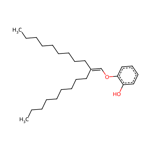 CCCCCCCCCC(=COc1ccccc1O)CCCCCCCCC